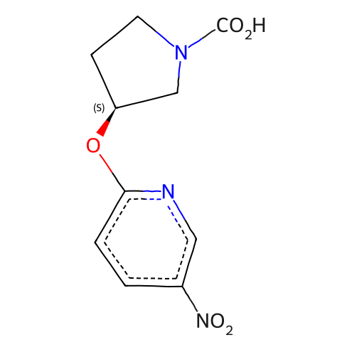 O=C(O)N1CC[C@H](Oc2ccc([N+](=O)[O-])cn2)C1